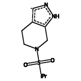 CC(C)S(=O)(=O)N1CCc2[c]n[nH]c2C1